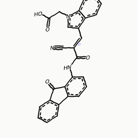 N#C/C(=C\c1cn(CC(=O)O)c2ccccc12)C(=O)Nc1cccc2c1C(=O)c1ccccc1-2